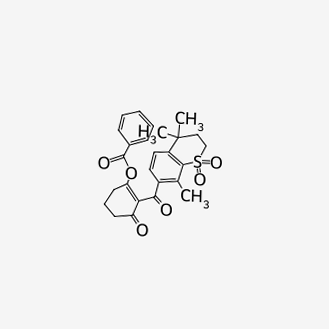 Cc1c(C(=O)C2=C(OC(=O)c3ccccc3)CCCC2=O)ccc2c1S(=O)(=O)CCC2(C)C